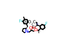 CC/C(=C\C(=O)O)c1cc(F)ccc1[C@@H](C)OC[C@@H](O)CN1CCC[C@H]1Cc1ccc(C)c(F)c1